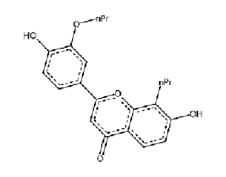 CCCOc1cc(-c2cc(=O)c3ccc(O)c(CCC)c3o2)ccc1O